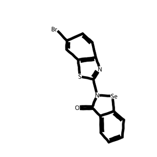 O=c1c2ccccc2[se]n1-c1nc2ccc(Br)cc2s1